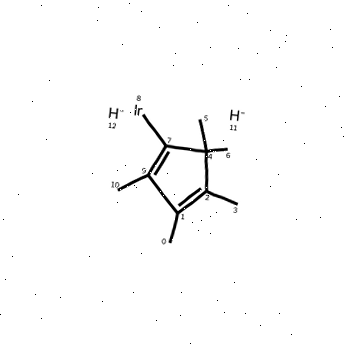 CC1=C(C)C(C)(C)[C]([Ir])=C1C.[H-].[H-]